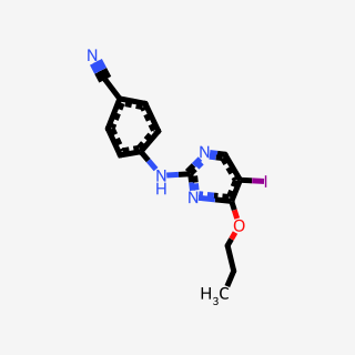 CCCOc1nc(Nc2ccc(C#N)cc2)ncc1I